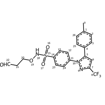 Cc1ccc(-c2cc(C(F)(F)F)nn2-c2ccc(S(=O)(=O)NOCCC=O)cc2)cc1